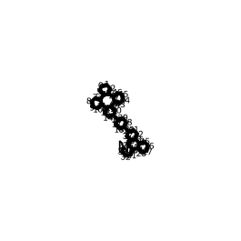 c1ccc2c(c1)-c1ccccc1-c1ccc(-c3ccc(-c4ccc5c6ccccc6c6cccnc6c5c4)cc3)cc1-c1ccccc1-2